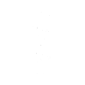 O=S(=O)(CCCCS(=O)(=O)c1ccccc1)c1ccccc1